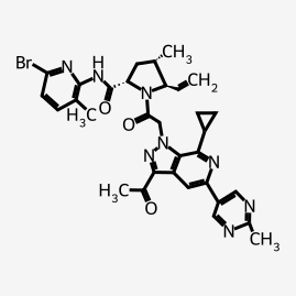 C=C[C@@H]1[C@@H](C)C[C@@H](C(=O)Nc2nc(Br)ccc2C)N1C(=O)Cn1nc(C(C)=O)c2cc(-c3cnc(C)nc3)nc(C3CC3)c21